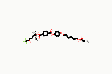 C=CC(=O)OCCCCCCOc1ccc(OC(=O)C2CCC(C(=O)OC(C)(C)CCCC(=O)C(F)(F)F)CC2)cc1